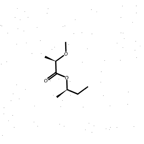 CC[C@@H](C)OC(=O)[C@@H](C)OC